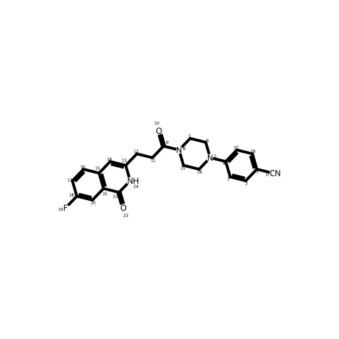 N#Cc1ccc(N2CCN(C(=O)CCc3cc4ccc(F)cc4c(=O)[nH]3)CC2)cc1